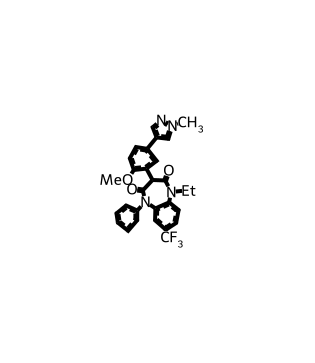 CCN1C(=O)C(c2cc(-c3cnn(C)c3)ccc2OC)C(=O)N(c2ccccc2)c2cc(C(F)(F)F)ccc21